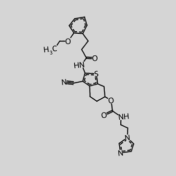 CCOc1ccccc1CCC(=O)Nc1sc2c(c1C#N)CCC(OC(=O)NCCn1ccnc1)C2